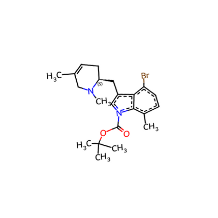 CC1=CC[C@@H](Cc2cn(C(=O)OC(C)(C)C)c3c(C)ccc(Br)c23)N(C)C1